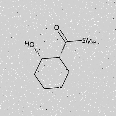 CSC(=O)[C@@H]1CCCC[C@@H]1O